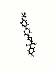 O=C(Nc1ccc(Cl)cc1)N1CC(N2CCN(c3ccc(OC(F)(F)F)cc3)CC2)C1